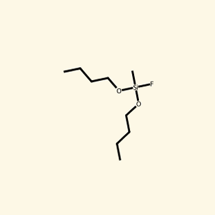 CCCCO[Si](C)(F)OCCCC